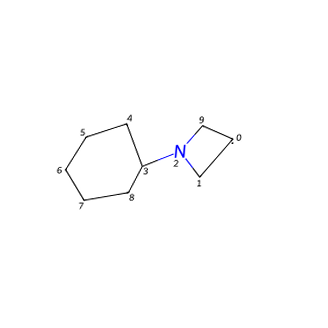 [CH]1CN(C2CCCCC2)C1